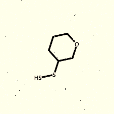 SSC1CCCOC1